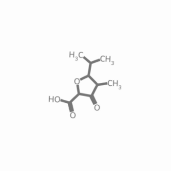 CC(C)C1OC(C(=O)O)C(=O)C1C